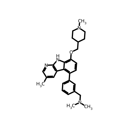 Cc1cnc2[nH]c3c(OCC4CCN(C)CC4)ccc(-c4cccc(CN(C)C)c4)c3c2c1